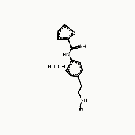 CC(C)NCCc1ccc(NC(=N)c2cccs2)cc1.Cl.Cl